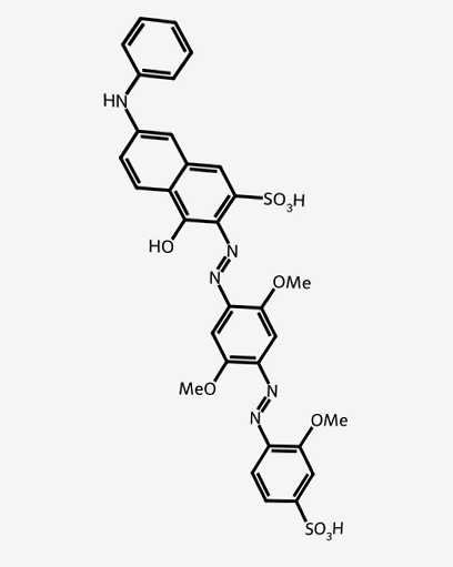 COc1cc(S(=O)(=O)O)ccc1N=Nc1cc(OC)c(N=Nc2c(S(=O)(=O)O)cc3cc(Nc4ccccc4)ccc3c2O)cc1OC